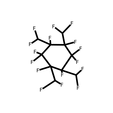 FC(F)C1(F)C(F)(F)C(F)(C(F)F)C(F)(C(F)F)C(F)(F)C1(F)C(F)F